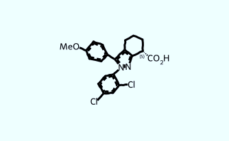 COc1ccc(-c2c3c(nn2-c2ccc(Cl)cc2Cl)[C@@H](C(=O)O)CCC3)cc1